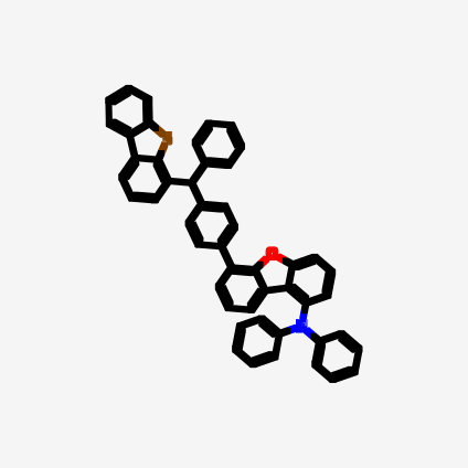 c1ccc(C(c2ccc(-c3cccc4c3oc3cccc(N(c5ccccc5)c5ccccc5)c34)cc2)c2cccc3c2sc2ccccc23)cc1